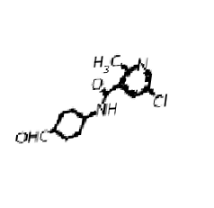 Cc1ncc(Cl)cc1C(=O)NC1CCC(C=O)CC1